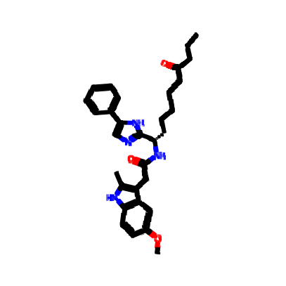 CCCC(=O)CCCCC[C@H](NC(=O)Cc1c(C)[nH]c2ccc(OC)cc12)c1ncc(-c2ccccc2)[nH]1